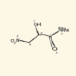 CNC(=O)C(O)C[N+](=O)[O-]